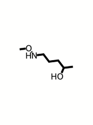 CONCCCC(C)O